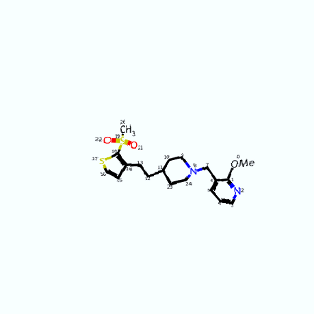 COc1ncccc1CN1CCC(CCc2ccsc2S(C)(=O)=O)CC1